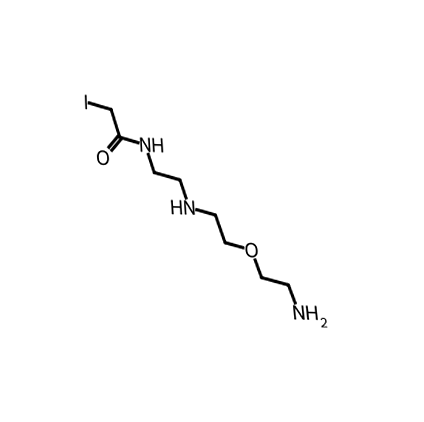 NCCOCCNCCNC(=O)CI